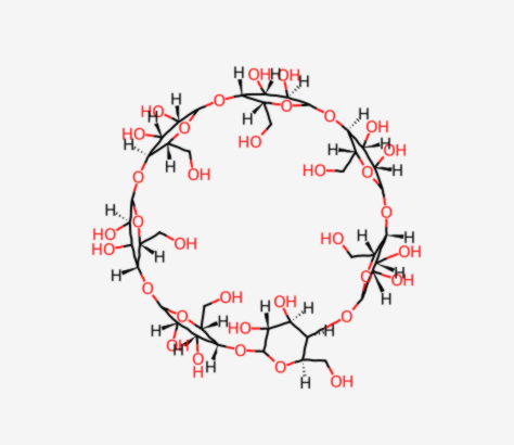 OC[C@H]1OC2O[C@@H]3[C@H](O)[C@@H](O)C(O[C@@H]4[C@H](O)[C@H](O)C(O[C@@H]5C(O)[C@@H](O)C(O[C@H]6[C@H](O)[C@H](O)C(O[C@@H]7[C@H](O)[C@@H](O)C(O[C@H]8[C@H](O)[C@H](O)C(O[C@@H]1[C@H](O)[C@@H]2O)O[C@@H]8CO)O[C@@H]7CO)O[C@@H]6CO)O[C@@H]5CO)O[C@@H]4CO)O[C@@H]3CO